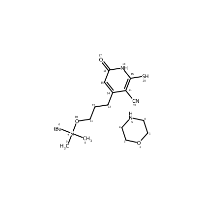 C1COCCN1.CC(C)(C)[Si](C)(C)OCCCc1cc(=O)[nH]c(S)c1C#N